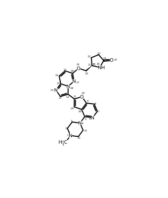 CN1CCN(c2nccc3oc(-c4cnc5ccc(OC[C@H]6CCC(=O)N6)nn45)cc23)CC1